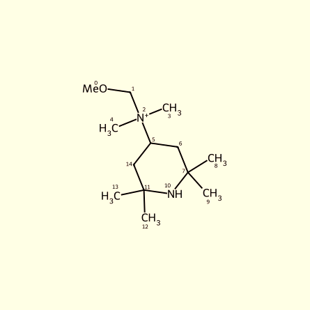 COC[N+](C)(C)C1CC(C)(C)NC(C)(C)C1